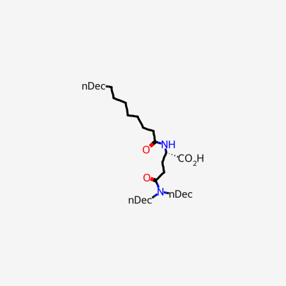 CCCCCCCCCCCCCCCCCC(=O)N[C@@H](CCC(=O)N(CCCCCCCCCC)CCCCCCCCCC)C(=O)O